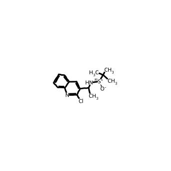 CC(N[S@@+]([O-])C(C)(C)C)c1cc2ccccc2nc1Cl